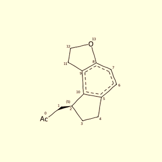 CC(=O)C[C@@H]1CCc2ccc3c(c21)CCO3